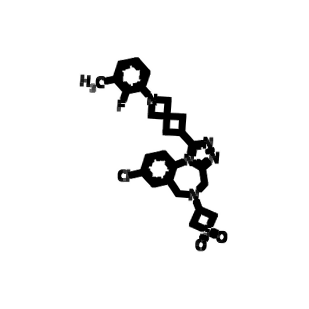 Cc1cccc(N2CC3(CC(c4nnc5n4-c4ccc(Cl)cc4CN(C4CS(=O)(=O)C4)C5)C3)C2)c1F